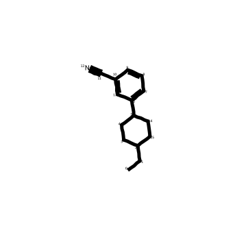 CCC1CCC(c2cccc(C#N)c2)CC1